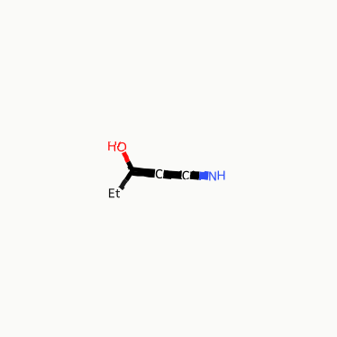 CCC(O)=C=C=N